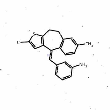 Cc1ccc2c(c1)CCc1sc(Cl)cc1/C2=C/c1cccc(N)c1